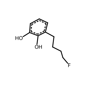 Oc1cccc(CCCCF)c1O